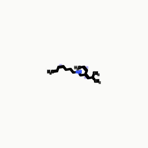 C=C/C=C\CCCNCC(/C=C\C)=C/C(C)C